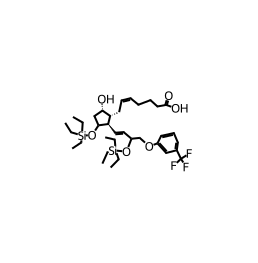 CC[Si](CC)(CC)OC(/C=C/[C@H]1C(O[Si](CC)(CC)CC)C[C@H](O)[C@@H]1C/C=C\CCCC(=O)O)COc1cccc(C(F)(F)F)c1